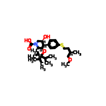 COC[C@H](C)CCSc1ccc([C@@H]2[C@@H](O)CN(C(=O)O)C[C@H]2O[Si](C(C)C)(C(C)C)C(C)C)cc1